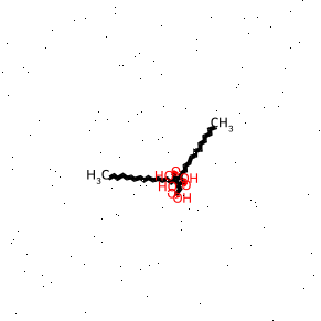 CCCCCCCCCCCCCCCCC(CCCCCCCCCCCCCCCC)(C(=O)O)C(O)(CC(=O)O)C(=O)O